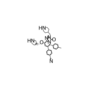 Cc1ccc(-c2c(-c3ccc(C#N)cc3)cc(OC[C@@H]3CCNC3)c3nn(CC4CCNCC4)c(=O)n23)cc1